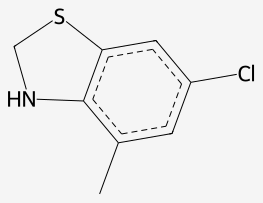 Cc1cc(Cl)cc2c1NCS2